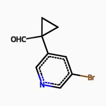 O=CC1(c2cncc(Br)c2)CC1